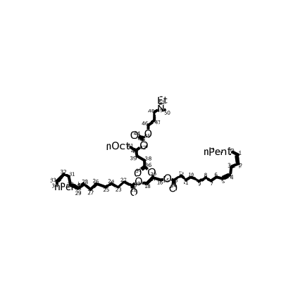 CCCCC/C=C\C/C=C\CCCCCCCC(=O)OCC(COC(=O)CCCCCCC/C=C\C/C=C\CCCCC)OC(=O)CCC(CCCCCCCC)OC(=O)OCCCN(C)CC